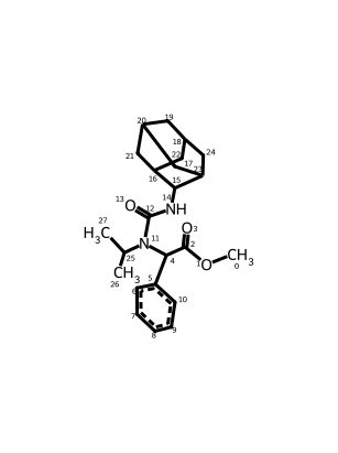 COC(=O)C(c1ccccc1)N(C(=O)NC1C2CC3CC(C2)CC1C3)C(C)C